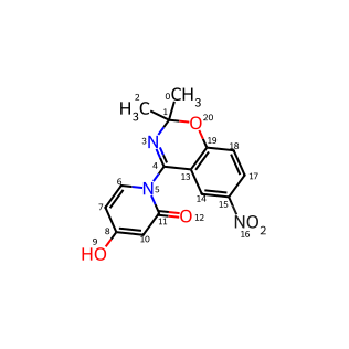 CC1(C)N=C(n2ccc(O)cc2=O)c2cc([N+](=O)[O-])ccc2O1